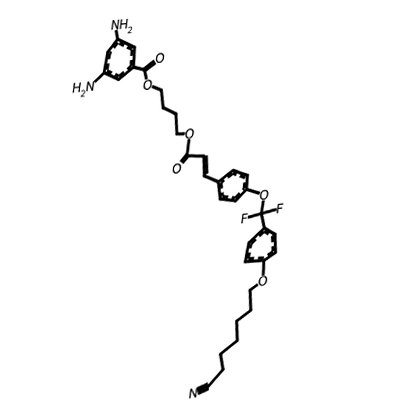 N#CCCCCCCOc1ccc(C(F)(F)Oc2ccc(C=CC(=O)OCCCCOC(=O)c3cc(N)cc(N)c3)cc2)cc1